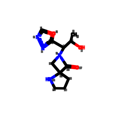 CC(O)C(c1nnco1)N1CC2(CCCN2)C1=O